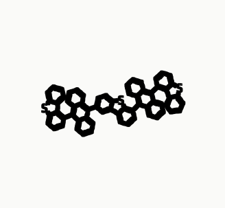 c1ccc2c(c1)sc1cccc(-c3c4ccccc4c(-c4ccc5sc6c(-c7c8ccccc8c(-c8cccc9sc%10ccccc%10c89)c8ccccc78)cccc6c5c4)c4ccccc34)c12